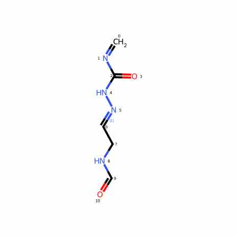 C=NC(=O)N/N=C/CNC=O